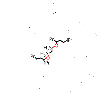 CC(C)CCC(O[SiH2]C[SiH2]OC(CCC(C)C)C(C)C)C(C)C